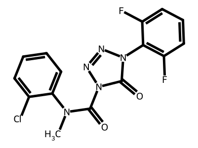 CN(C(=O)n1nnn(-c2c(F)cccc2F)c1=O)c1ccccc1Cl